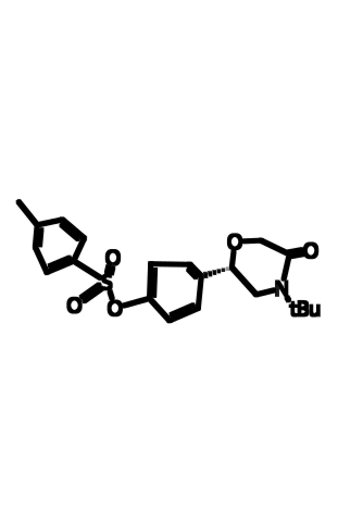 Cc1ccc(S(=O)(=O)Oc2ccc([C@H]3CN(C(C)(C)C)C(=O)CO3)cc2)cc1